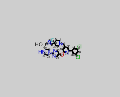 CN(CC1(F)CCN(Cc2cc(Oc3cnc(N4CCNCC4)nc3)nc(-c3cc(Cl)cc(Cl)c3)c2)CC1)C(=O)O